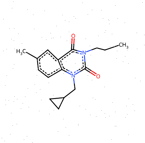 CCCn1c(=O)c2cc(C)ccc2n(CC2CC2)c1=O